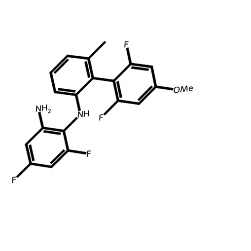 COc1cc(F)c(-c2c(C)cccc2Nc2c(N)cc(F)cc2F)c(F)c1